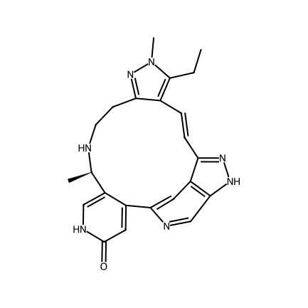 CCc1c2c(nn1C)CCN[C@H](C)c1c[nH]c(=O)cc1-c1cc3c(n[nH]c3cn1)/C=C/2